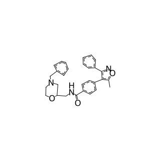 Cc1onc(-c2ccccc2)c1-c1ccc(C(=O)NCC2CN(Cc3ccccc3)CCO2)cc1